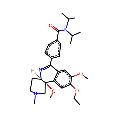 CCOc1cc2c(cc1OC)C(c1ccc(C(=O)N(C(C)C)C(C)C)cc1)=N[C@@H]1CCN(C)C[C@@]21OC